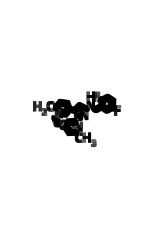 C=C1C=CC(c2cc(NCc3cc(F)ccc3F)nn2-c2cccc(C)n2)=CN1/C=C\C